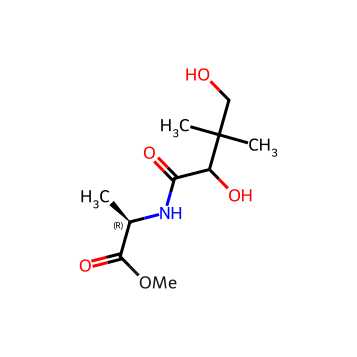 COC(=O)[C@@H](C)NC(=O)C(O)C(C)(C)CO